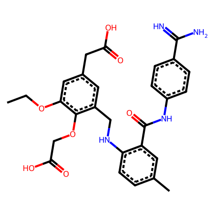 CCOc1cc(CC(=O)O)cc(CNc2ccc(C)cc2C(=O)Nc2ccc(C(=N)N)cc2)c1OCC(=O)O